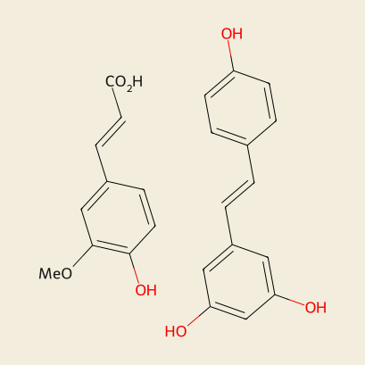 COc1cc(/C=C/C(=O)O)ccc1O.Oc1ccc(C=Cc2cc(O)cc(O)c2)cc1